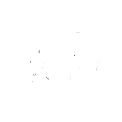 c1cnc(P(Cc2ccccc2CP(C23CC4CC(CC(C4)C2)C3)C23CC4CC(CC(C4)C2)C3)c2ncccn2)nc1